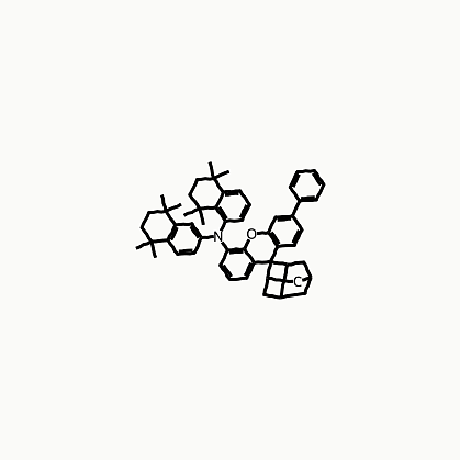 CC1(C)CCC(C)(C)c2cc(N(c3cccc4c3Oc3cc(-c5ccccc5)ccc3C43C4CC5CC6CC3C64C5)c3cccc4c3C(C)(C)CCC4(C)C)ccc21